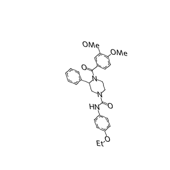 CCOc1ccc(NC(=O)N2CCN(C(=O)c3ccc(OC)c(OC)c3)C(c3ccccc3)C2)cc1